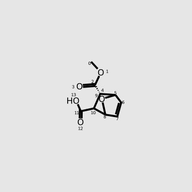 COC(=O)[C@@H]1C2C=CC(O2)C1C(=O)O